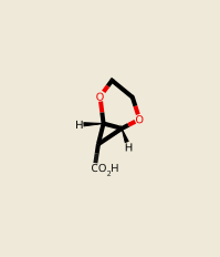 O=C(O)C1[C@H]2OCCO[C@@H]12